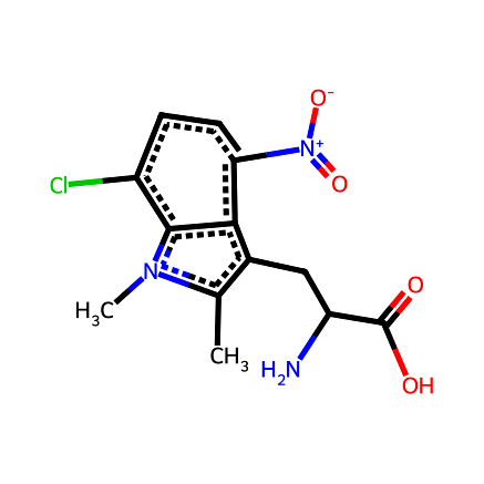 Cc1c(CC(N)C(=O)O)c2c([N+](=O)[O-])ccc(Cl)c2n1C